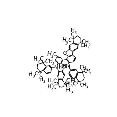 Cc1cc(-c2c(Nc3ccc4c(c3)C(C)(C)CCC4(C)C)ccc3c2oc2cc4c(cc23)C(C)(C)CCC4(C)C)c2c(c1)N(c1ccc3c(c1)C(C)(C)CCC3(C)C)c1cc3c(cc1B2)C(C)(C)CCC3(C)C